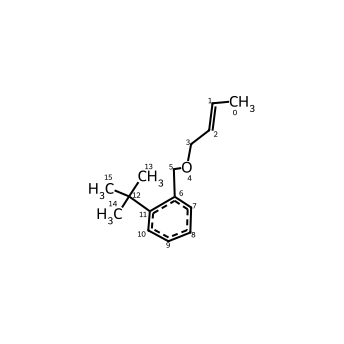 CC=CCOCc1ccccc1C(C)(C)C